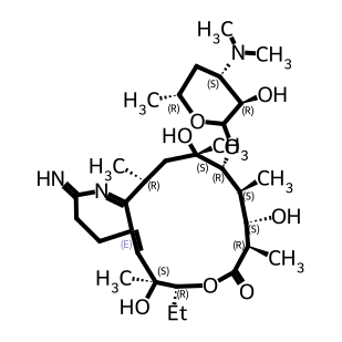 CC[C@H]1OC(=O)[C@H](C)[C@@H](O)[C@H](C)[C@@H](OC2O[C@H](C)C[C@H](N(C)C)[C@H]2O)[C@@](C)(O)C[C@@H](C)C2=NC(=N)CC/C2=C\[C@]1(C)O